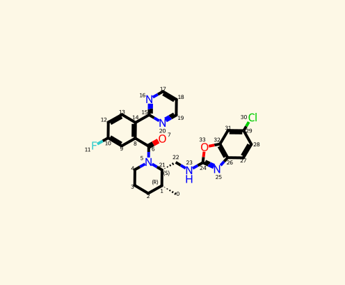 C[C@@H]1CCCN(C(=O)c2cc(F)ccc2-c2ncccn2)[C@@H]1CNc1nc2ccc(Cl)cc2o1